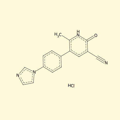 Cc1[nH]c(=O)c(C#N)cc1-c1ccc(-n2ccnc2)cc1.Cl